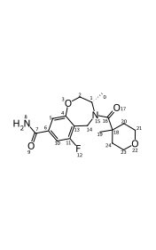 C[C@H]1COc2cc(C(N)=O)cc(F)c2CN1C(=O)C1(C)CCOCC1